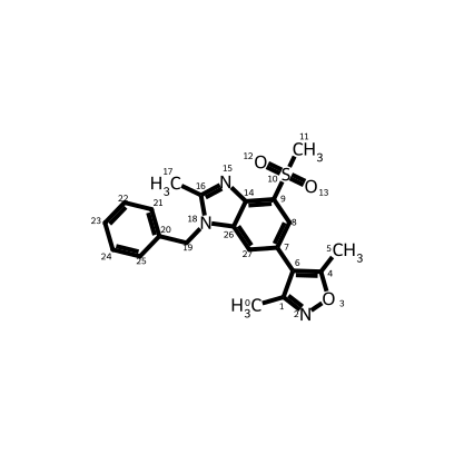 Cc1noc(C)c1-c1cc(S(C)(=O)=O)c2nc(C)n(Cc3ccccc3)c2c1